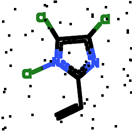 C=Cc1nc(Cl)c(Cl)n1Cl